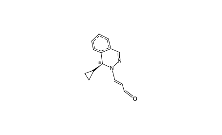 O=CC=CN1N=Cc2ccccc2[C@@H]1C1CC1